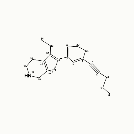 CCCC#CC1=CC(c2sc3c(c2CC)CCNC3)=CCC1